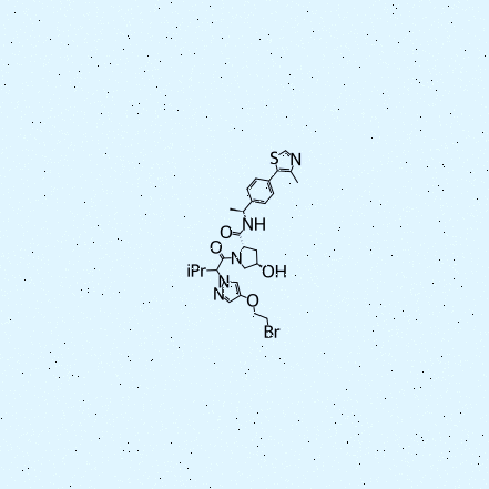 Cc1ncsc1-c1ccc([C@H](C)NC(=O)[C@@H]2C[C@@H](O)CN2C(=O)C(C(C)C)n2cc(OCCBr)cn2)cc1